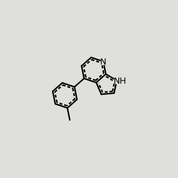 Cc1cccc(-c2ccnc3[nH]ccc23)c1